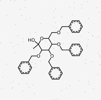 CC1(O)OC(COCc2ccccc2)C(OCc2ccccc2)C(OCc2ccccc2)C1OCc1ccccc1